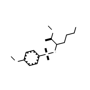 COC(=O)C(CCCS)NS(=O)(=O)c1ccc(OC)cc1